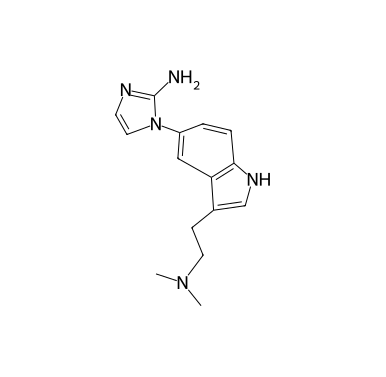 CN(C)CCc1c[nH]c2ccc(-n3ccnc3N)cc12